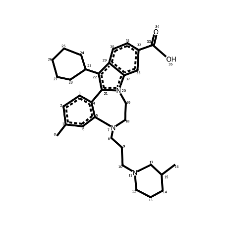 Cc1ccc2c(c1)N(CCCN1CCCC(C)C1)CCn1c-2c(C2CCCCC2)c2ccc(C(=O)O)cc21